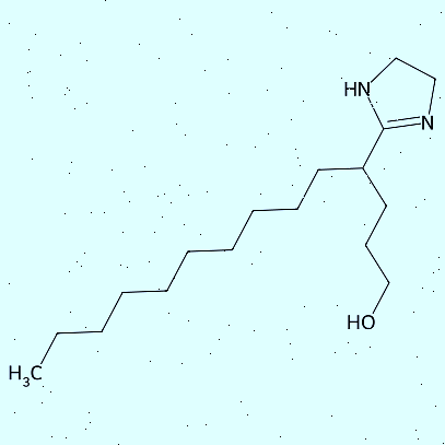 CCCCCCCCCCC(CCCO)C1=NCCN1